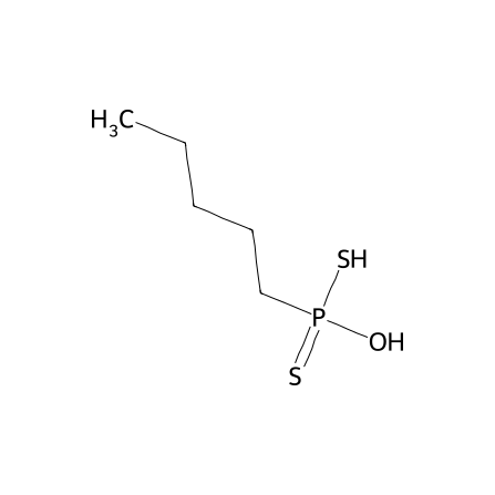 CCCCCP(O)(=S)S